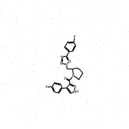 O=C(c1n[nH]cc1-c1ccc(F)cc1)N1CCCCC1Cn1nnc(-c2ccc(F)cc2)n1